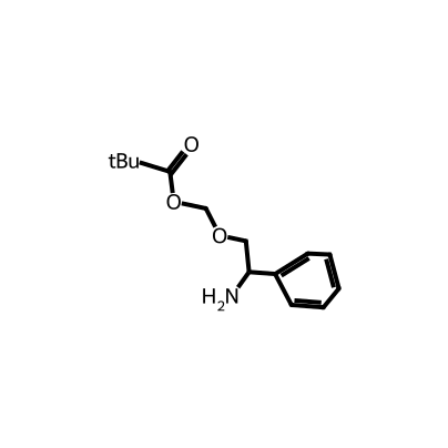 CC(C)(C)C(=O)OCOCC(N)c1ccccc1